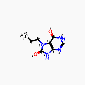 O=c1[nH]cnc2[nH]c(=O)n(CCC(F)(F)F)c12